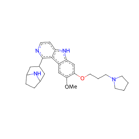 COc1cc2c(cc1OCCCN1CCCC1)[nH]c1ccnc(C3CC4CCC(C3)N4)c12